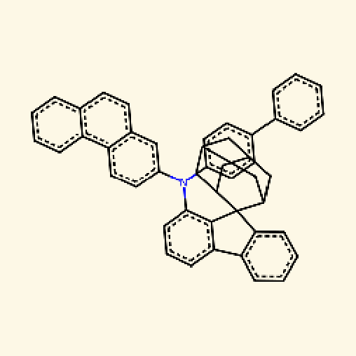 c1ccc(-c2ccc(N(c3ccc4c(ccc5ccccc54)c3)c3cccc4c3C3(c5ccccc5-4)C4CC5CC(C4)CC3C5)cc2)cc1